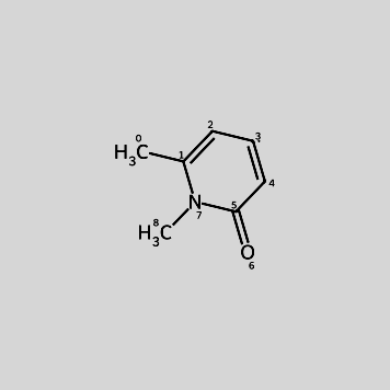 Cc1c[c]cc(=O)n1C